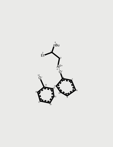 CCCCC(CC)[CH2][Al+2].[O-]c1ccccc1.[O-]c1ccccc1